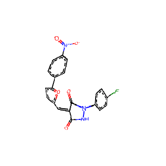 O=C1NN(c2ccc(F)cc2)C(=O)C1=Cc1ccc(-c2ccc([N+](=O)[O-])cc2)o1